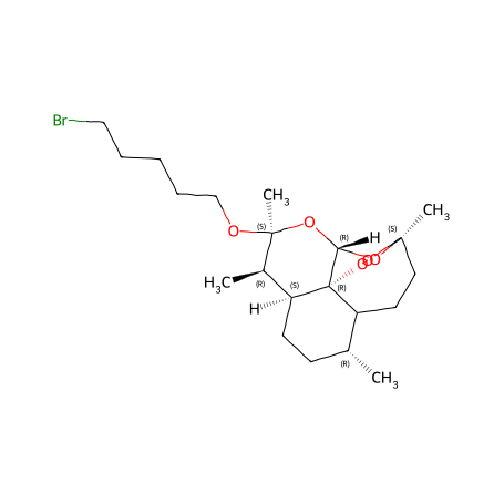 C[C@@H]1CC[C@H]2[C@@H](C)[C@@](C)(OCCCCCBr)O[C@@H]3O[C@]4(C)CCC1[C@]32OO4